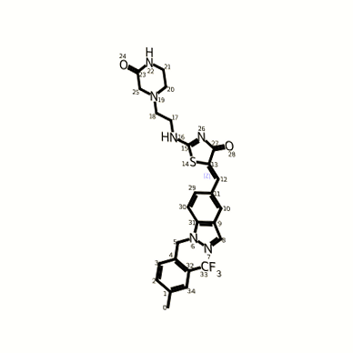 Cc1ccc(Cn2ncc3cc(/C=C4\SC(NCCN5CCNC(=O)C5)=NC4=O)ccc32)c(C(F)(F)F)c1